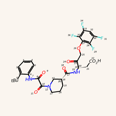 CC(C)(C)c1ccccc1NC(=O)C(=O)N1CCC[C@@H](C(=O)N[C@@H](CC(=O)O)C(=O)COc2c(F)c(F)cc(F)c2F)C1